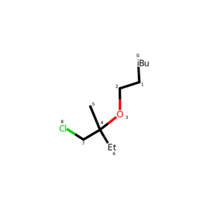 CCC(C)CCOC(C)(CC)CCl